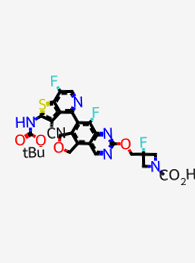 CC(C)(C)OC(=O)Nc1sc2c(F)cnc(-c3c4c(c5cnc(OCC6(F)CN(C(=O)O)C6)nc5c3F)COC4)c2c1C#N